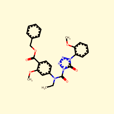 CCN(C(=O)n1nnn(-c2ccccc2OC)c1=O)c1ccc(C(=O)OCc2ccccc2)c(OC)c1